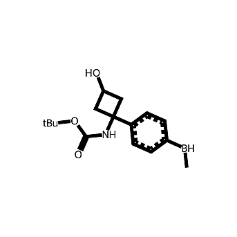 CBc1ccc(C2(NC(=O)OC(C)(C)C)CC(O)C2)cc1